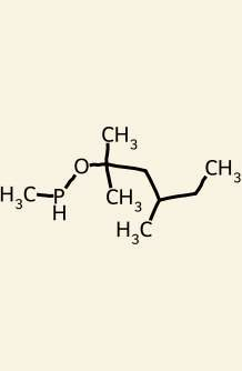 CCC(C)CC(C)(C)OPC